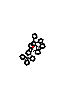 c1ccc(-c2cccc(-n3c4ccccc4c4cccc(-n5c6ccccc6c6ccc([Si](c7ccccc7)(c7ccccc7)c7ccccc7)cc65)c43)c2-c2ccccc2)cc1